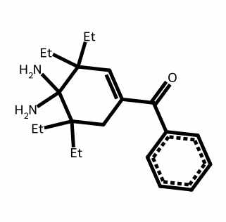 CCC1(CC)C=C(C(=O)c2ccccc2)CC(CC)(CC)C1(N)N